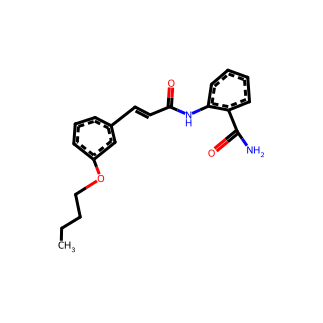 CCCCOc1cccc(C=CC(=O)Nc2ccccc2C(N)=O)c1